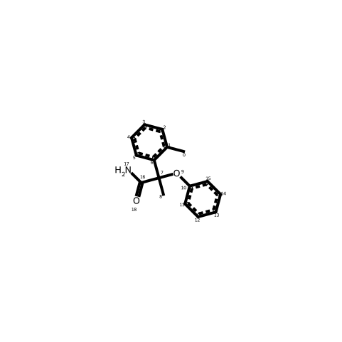 Cc1ccccc1C(C)(Oc1ccccc1)C(N)=O